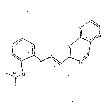 C[SiH](C)Oc1ccccc1CN=Cc1ncc2nccnc2n1